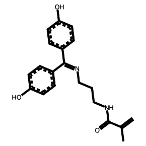 C=C(C)C(=O)NCCCN=C(c1ccc(O)cc1)c1ccc(O)cc1